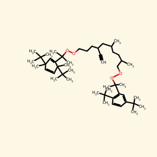 C#CC(CCCOOC(C)(C)C1=CC(C)(C(C)(C)C)C=CC1(C)C(C)(C)C)CC(C)CCC(C)COOC(C)(C)c1cc(C(C)(C)C)ccc1C(C)(C)C